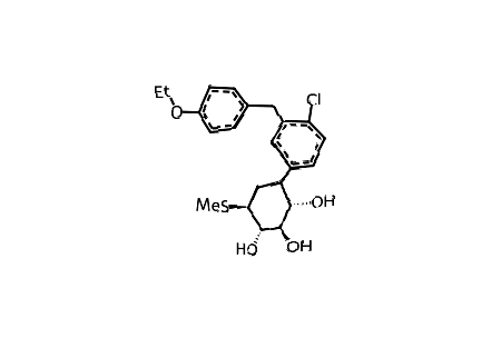 CCOc1ccc(Cc2cc(C3C[C@H](SC)[C@@H](O)[C@H](O)[C@H]3O)ccc2Cl)cc1